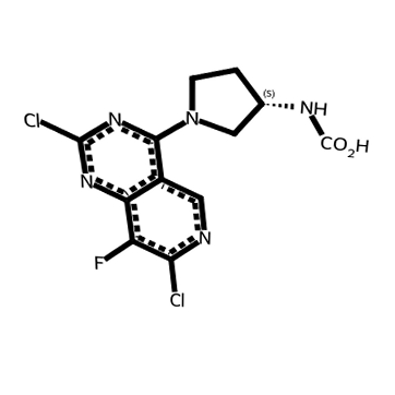 O=C(O)N[C@H]1CCN(c2nc(Cl)nc3c(F)c(Cl)ncc23)C1